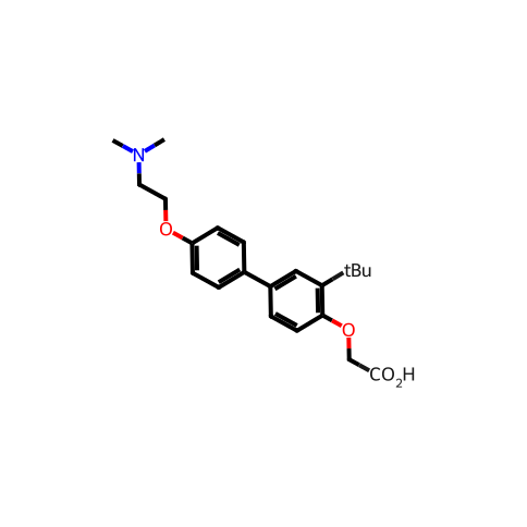 CN(C)CCOc1ccc(-c2ccc(OCC(=O)O)c(C(C)(C)C)c2)cc1